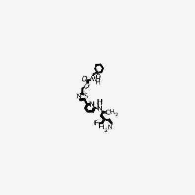 C=C(/C=C(\C=C/N)CF)Nc1cccc(-c2cnc(COC(=O)NCC3(O)CCCCC3)s2)n1